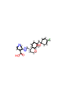 O=C(O)c1ccncc1NC[C@@H]1CCOc2cc(CC3(O)C=CC(F)=CC3)ccc21